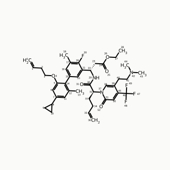 C=CCCOc1cc(C2CC2)cc(C)c1-c1cc(C)c(F)c([C@H](CC(=O)OCC)NC(=O)[C@H](CCC=C)n2cc(CCN(C)C)c(C(F)(F)F)cc2=O)c1